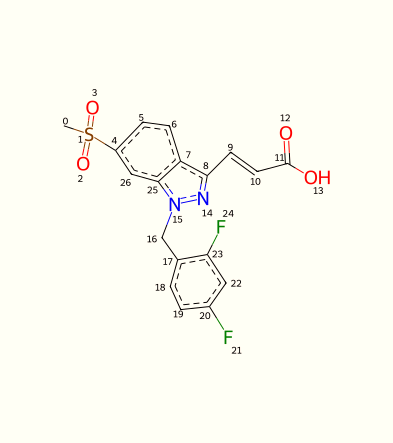 CS(=O)(=O)c1ccc2c(C=CC(=O)O)nn(Cc3ccc(F)cc3F)c2c1